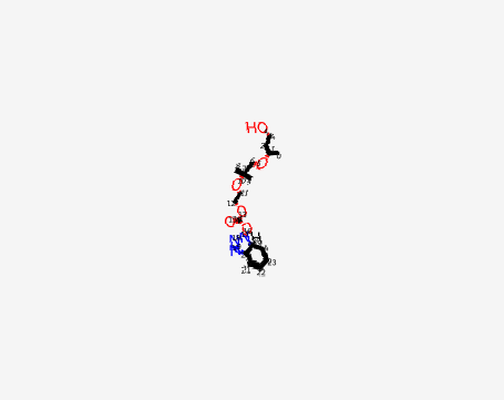 CC(CCO)OCC(C)(C)OCCOC(=O)ON1N=NC2C=CC=C[C@H]21